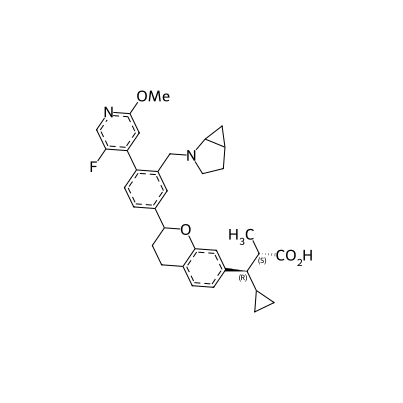 COc1cc(-c2ccc(C3CCc4ccc([C@H](C5CC5)[C@H](C)C(=O)O)cc4O3)cc2CN2CCC3CC32)c(F)cn1